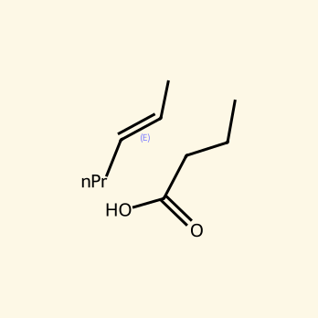 C/C=C/CCC.CCCC(=O)O